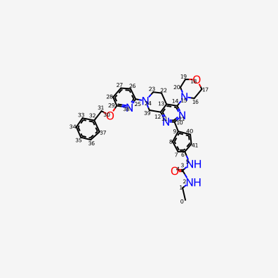 CCNC(=O)Nc1ccc(-c2nc3c(c(N4CCOCC4)n2)CCN(c2cccc(OCc4ccccc4)n2)C3)cc1